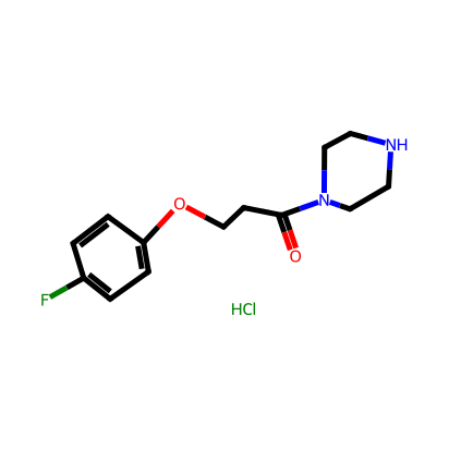 Cl.O=C(CCOc1ccc(F)cc1)N1CCNCC1